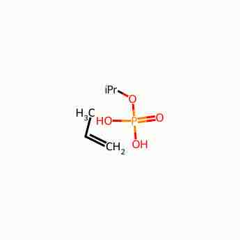 C=CC.CC(C)OP(=O)(O)O